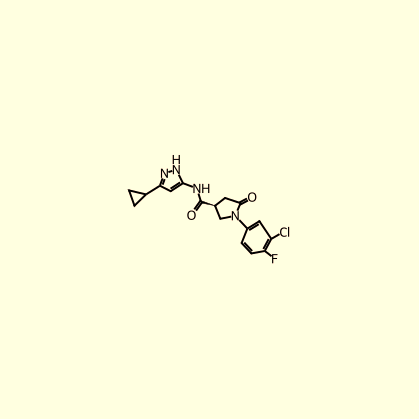 O=C(Nc1cc(C2CC2)n[nH]1)[C@H]1CC(=O)N(c2ccc(F)c(Cl)c2)C1